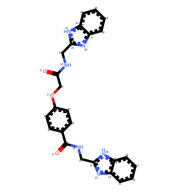 O=C(COc1ccc(C(=O)NCc2nc3ccccc3[nH]2)cc1)NCc1nc2ccccc2[nH]1